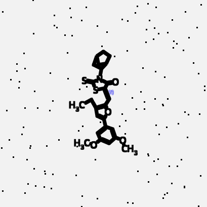 CCc1cc(-c2cc(OC)cc(OC)c2)oc1/C=C1\SC(=S)N(C2CC3CCC2C3)C1=O